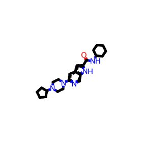 O=C(NC1CCCCC1)c1cc2cc(N3CCN(C4CCCC4)CC3)ncc2[nH]1